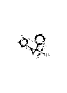 NS(=O)(=O)C1(c2ncccn2)CC1n1ccnc1